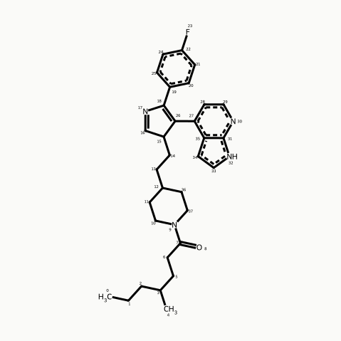 CCCC(C)CCC(=O)N1CCC(CCC2C=NC(c3ccc(F)cc3)=C2c2ccnc3[nH]ccc23)CC1